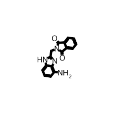 Nc1cccc2[nH]c(CN3C(=O)c4ccccc4C3=O)nc12